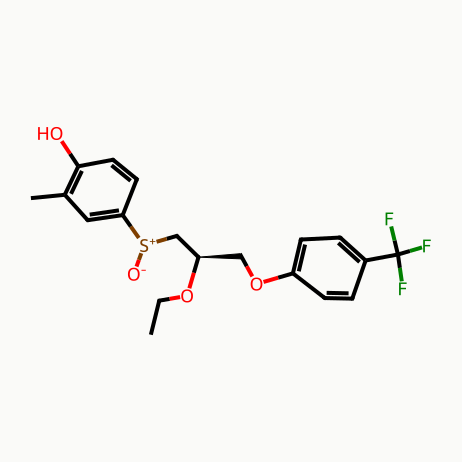 CCO[C@H](COc1ccc(C(F)(F)F)cc1)C[S+]([O-])c1ccc(O)c(C)c1